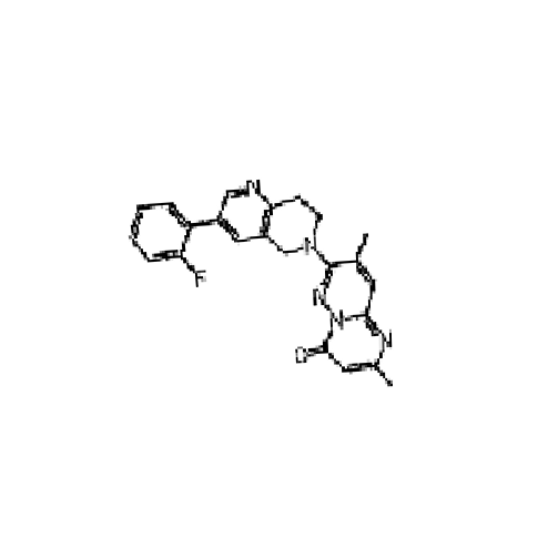 Cc1cc(=O)n2nc(N3CCc4ncc(-c5ccccc5F)cc4C3)c(C)cc2n1